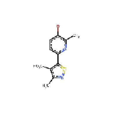 Cc1nc(-c2snc(C)c2C(=O)O)ccc1Br